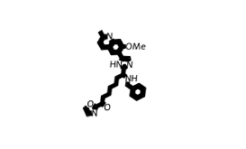 COc1cc2nc(C)ccc2cc1-c1cnc(C(CCCCCC(=O)c2ncco2)NCc2ccccc2)[nH]1